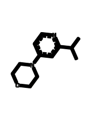 CC(C)c1cc(N2CCOCC2)ccn1